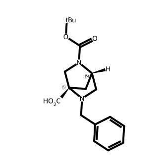 CC(C)(C)OC(=O)N1C[C@]2(C(=O)O)C[C@H]1CN2Cc1ccccc1